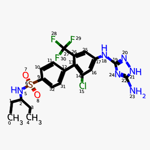 CCC(CC)NS(=O)(=O)c1ccc(-c2c(Cl)cc(Nc3n[nH]c(N)n3)cc2C(F)(F)F)cc1